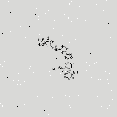 COCc1cc(-c2nc(-c3ccnc(NCCC(=O)OC(C)(C)C)c3)no2)ccc1-c1ccccc1C